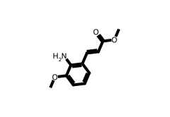 COC(=O)/C=C/c1cccc(OC)c1N